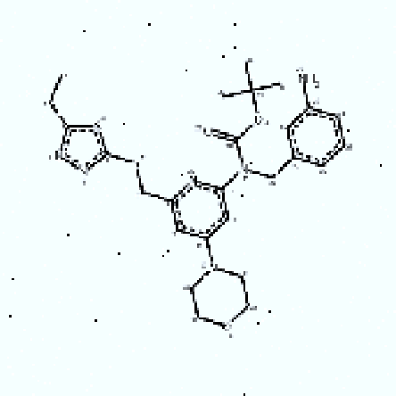 CCc1nnc(SCc2cc(N3CCOCC3)cc(N(Cc3cccc(N)c3)C(=O)OC(C)(C)C)n2)s1